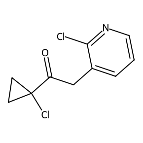 O=C(Cc1cccnc1Cl)C1(Cl)CC1